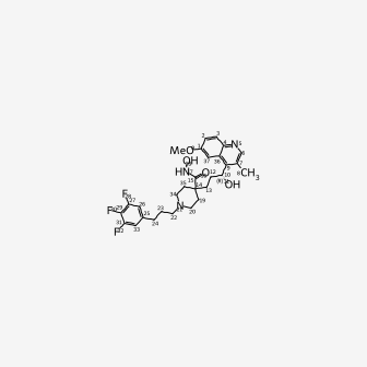 COc1ccc2ncc(C)c([C@H](O)CCC3(C(=O)NO)CCN(CCCc4cc(F)c(F)c(F)c4)CC3)c2c1